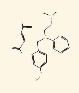 COc1ccc(CN(CCN(C)C)c2ccccn2)cc1.O=C(O)C=CC(=O)O